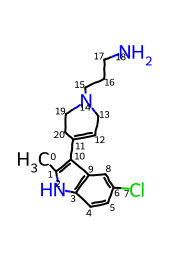 Cc1[nH]c2ccc(Cl)cc2c1C1=CCN(CCCN)CC1